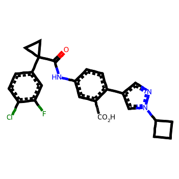 O=C(O)c1cc(NC(=O)C2(c3ccc(Cl)c(F)c3)CC2)ccc1-c1cnn(C2CCC2)c1